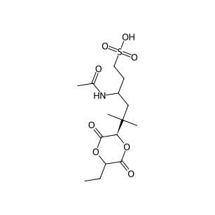 CCC1OC(=O)[C@@H](C(C)(C)CC(CCS(=O)(=O)O)NC(C)=O)OC1=O